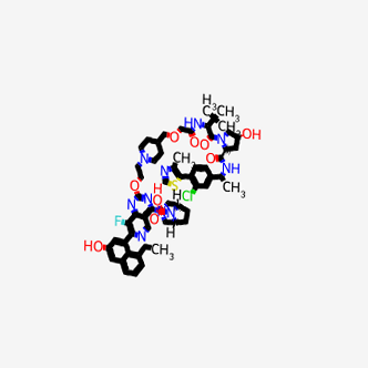 CCc1cccc2cc(O)cc(-c3ncc4c(N5C[C@H]6CC[C@@H](C5)N6C(=O)O)nc(OCCN5CCC(COCC(=O)NC(C(=O)N6C[C@H](O)C[C@H]6C(=O)NC(C)c6ccc(-c7scnc7C)c(Cl)c6)C(C)(C)C)CC5)nc4c3F)c12